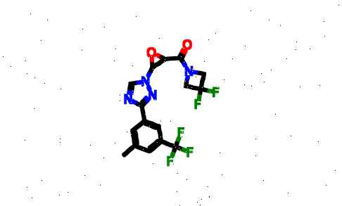 Cc1cc(-c2ncn(C3OC3C(=O)N3CC(F)(F)C3)n2)cc(C(F)(F)F)c1